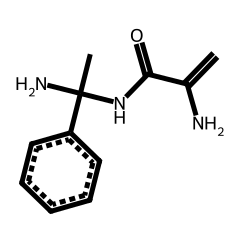 C=C(N)C(=O)NC(C)(N)c1ccccc1